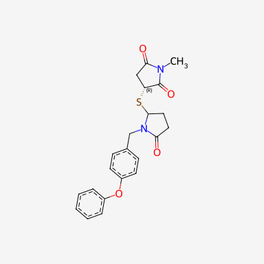 CN1C(=O)C[C@@H](SC2CCC(=O)N2Cc2ccc(Oc3ccccc3)cc2)C1=O